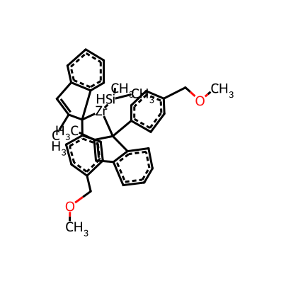 COCc1ccc([C]2([Zr]([SiH](C)C)[C]3(c4ccc(COC)cc4)C(C)=Cc4ccccc43)C(C)=Cc3ccccc32)cc1